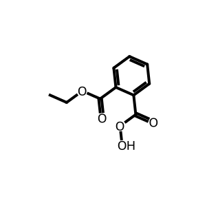 CCOC(=O)c1ccccc1C(=O)OO